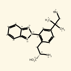 CC(C)(C)CC(C)(C)c1ccc(C[C@H](N)C(=O)O)c(-n2nc3ccccc3n2)c1